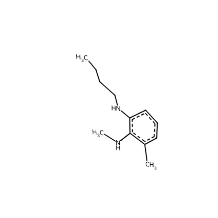 CCCCNc1cccc(C)c1NC